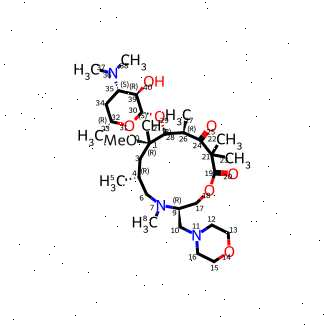 CO[C@]1(C)C[C@@H](C)CN(C)[C@H](CN2CCOCC2)COC(=O)C(C)(C)C(=O)[C@H](C)[C@H]1O[C@@H]1O[C@H](C)C[C@H](N(C)C)[C@H]1O